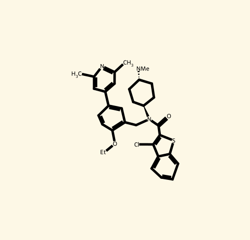 CCOc1ccc(-c2cc(C)nc(C)c2)cc1CN(C(=O)c1sc2ccccc2c1Cl)[C@H]1CC[C@H](NC)CC1